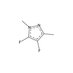 Cc1nn(C)c(F)c1F